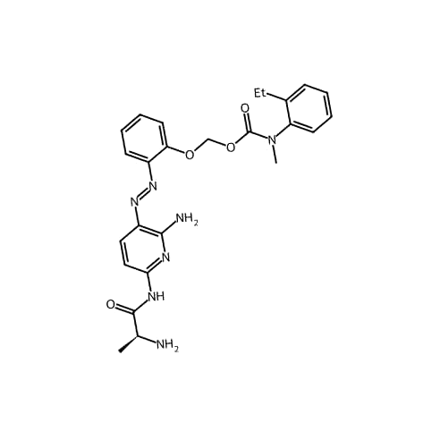 CCc1ccccc1N(C)C(=O)OCOc1ccccc1/N=N/c1ccc(NC(=O)[C@H](C)N)nc1N